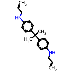 C=CCNc1ccc(C(C)(C)c2ccc(NCC=C)cc2)cc1